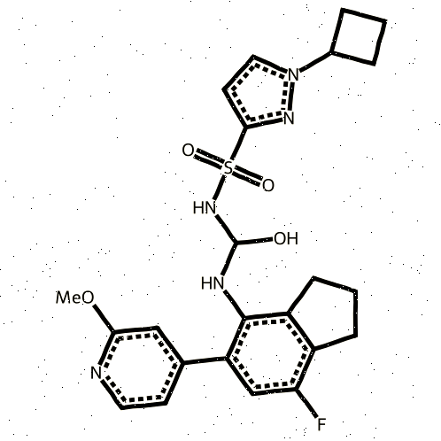 COc1cc(-c2cc(F)c3c(c2NC(O)NS(=O)(=O)c2ccn(C4CCC4)n2)CCC3)ccn1